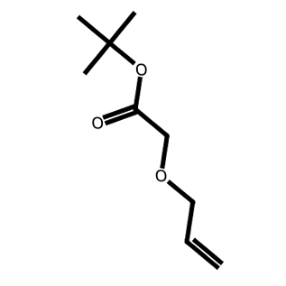 C=CCOCC(=O)OC(C)(C)C